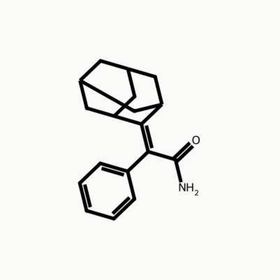 NC(=O)C(=C1C2CC3CC(C2)CC1C3)c1ccccc1